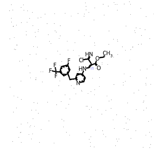 CCOC(=O)/C(=C/Nc1ccnc(Cc2cc(F)cc(C(F)(F)F)c2)c1)C(=N)Cl